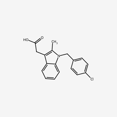 Cc1c(CC(=O)O)c2ccccc2n1Cc1ccc(Cl)cc1